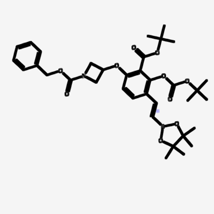 CC(C)(C)OC(=O)Oc1c(/C=C/B2OC(C)(C)C(C)(C)O2)ccc(OC2CN(C(=O)OCc3ccccc3)C2)c1C(=O)OC(C)(C)C